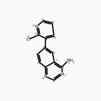 Nc1ncnc2ccc(-c3cccnc3Cl)cc12